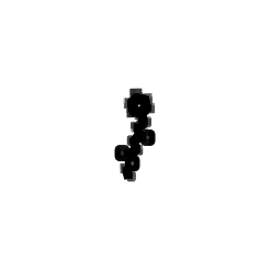 CCOC(=O)CCC(=O)/C=C/c1ccccc1